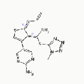 C=C/N=C1/SC=C(c2cnc(N)nc2)/C1=C(/N)Sc1nnnn1C